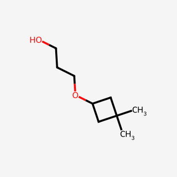 CC1(C)CC(OCCCO)C1